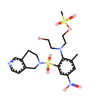 Cc1cc([N+](=O)[O-])cc(S(=O)(=O)N2CCc3cnccc3C2)c1N(CCBr)CCOS(C)(=O)=O